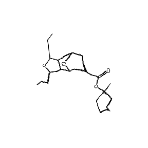 CCC1OC(CC)C2C3OC(CC3C(=O)OC3(C)CCCC3)C12